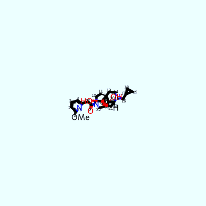 COc1cccc(CC(=O)N2CC[C@]34CCN(CC5CC5)[C@H](Cc5ccc(O)cc53)[C@]4(O)CC2)n1